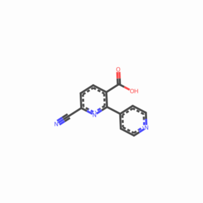 N#Cc1ccc(C(=O)O)c(-c2ccncc2)n1